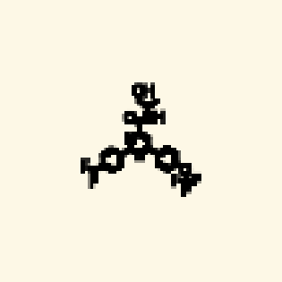 CC(CO)NC(=O)c1cc(-c2ccc(OC(F)(F)F)cc2)nc(-c2ccc(C(F)F)cc2)n1